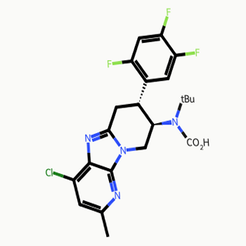 Cc1cc(Cl)c2nc3n(c2n1)C[C@H](N(C(=O)O)C(C)(C)C)[C@@H](c1cc(F)c(F)cc1F)C3